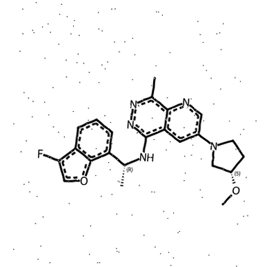 CO[C@H]1CCN(c2cnc3c(C)nnc(N[C@H](C)c4cccc5c(F)coc45)c3c2)C1